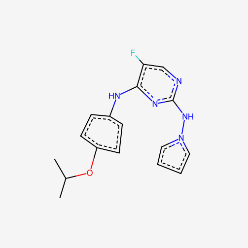 CC(C)Oc1ccc(Nc2nc(Nn3cccc3)ncc2F)cc1